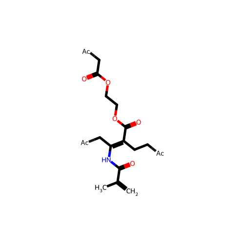 C=C(C)C(=O)NC(CC(C)=O)=C(CCC(C)=O)C(=O)OCCOC(=O)CC(C)=O